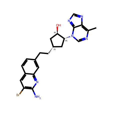 Cc1ncn([C@@H]2C[C@H](CCc3ccc4cc(Br)c(N)nc4c3)C[C@H]2O)c2ncnc1-2